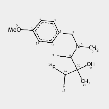 COc1ccc(CN(C)C(F)C(C)(O)C(F)F)cc1